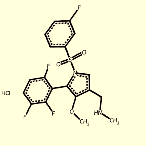 CNCc1cn(S(=O)(=O)c2cccc(F)c2)c(-c2c(F)ccc(F)c2F)c1OC.Cl